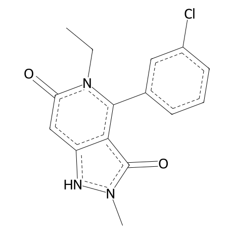 CCn1c(-c2cccc(Cl)c2)c2c(=O)n(C)[nH]c2cc1=O